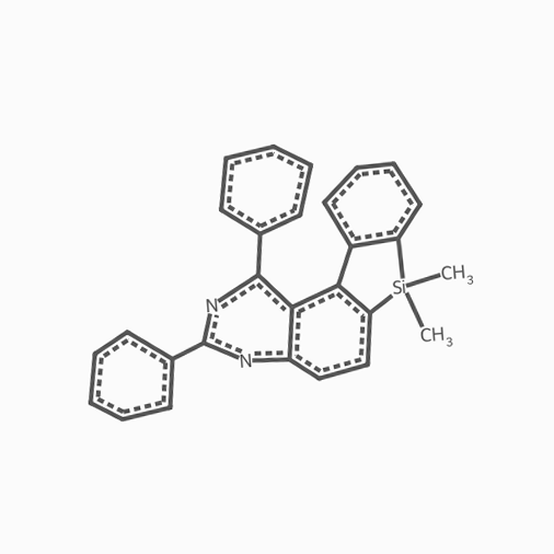 C[Si]1(C)c2ccccc2-c2c1ccc1nc(-c3ccccc3)nc(-c3ccccc3)c21